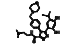 CC(C)c1cc(-c2nnc(C(=O)NCCN(C)C)n2-c2ccc(CN3CCOCC3)cc2)c(O)cc1O